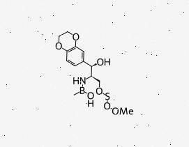 COOSOC[C@@H](NB(C)O)[C@H](O)c1ccc2c(c1)OCCO2